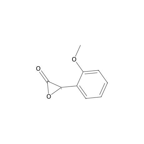 COc1ccccc1[C]1OC1=O